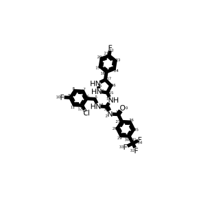 O=C(/N=C(/NCc1ccc(F)cc1Cl)NC1CC(c2ccc(F)cc2)NN1)c1ccc(C(F)(F)F)cc1